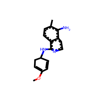 COC1=CCC(Nc2nccc3c(N)c(C)ccc23)C=C1